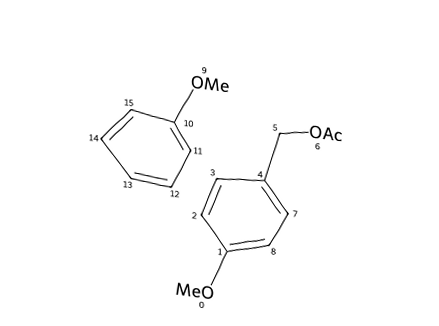 COc1ccc(COC(C)=O)cc1.COc1ccccc1